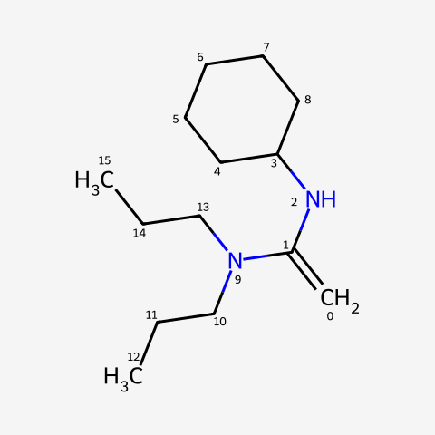 C=C(NC1CCCCC1)N(CCC)CCC